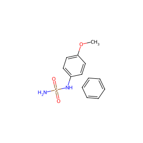 COc1ccc(NS(N)(=O)=O)cc1.c1ccccc1